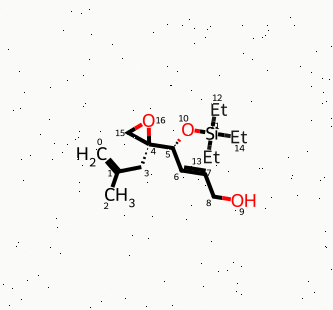 C=C(C)C[C@]1([C@@H](/C=C/CO)O[Si](CC)(CC)CC)CO1